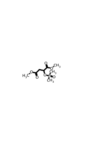 COC(=O)CC(OP(C)(C)=O)C(=O)OC